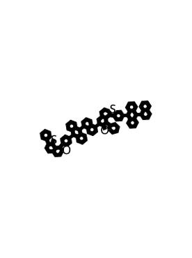 c1ccc2c(-c3c4ccccc4c(-c4ccc5c(c4)sc4ccc6cc(-c7cccc8c(-c9c%10ccccc%10c(-c%10ccc%11c(c%10)oc%10ccc%12ccc%13c%14ccccc%14sc%13c%12c%10%11)c%10ccccc9%10)cccc78)c7oc8ccccc8c7c6c45)c4ccccc34)cccc2c1